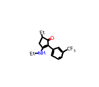 CCNC1=C(c2cccc(C(F)(F)F)c2)C(=O)C(CC)C1